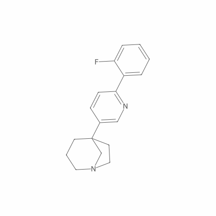 Fc1ccccc1-c1ccc(C23CCCN(CC2)C3)cn1